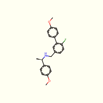 COc1ccc(-c2cc(CN[C@H](C)c3ccc(OC)cc3)ccc2F)cc1